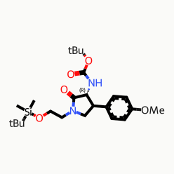 COc1ccc(C2CN(CCO[Si](C)(C)C(C)(C)C)C(=O)[C@@H]2NC(=O)OC(C)(C)C)cc1